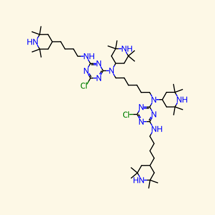 CC1(C)CC(CCCCNc2nc(Cl)nc(N(CCCCCCN(c3nc(Cl)nc(NCCCCC4CC(C)(C)NC(C)(C)C4)n3)C3CC(C)(C)NC(C)(C)C3)C3CC(C)(C)NC(C)(C)C3)n2)CC(C)(C)N1